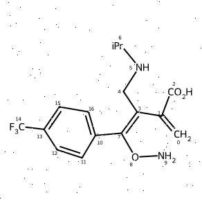 C=C(C(=O)O)/C(CNC(C)C)=C(\ON)c1ccc(C(F)(F)F)cc1